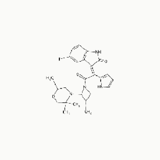 CC1CN(C2C(C)CN2C(=O)C(=C2C(=O)Nc3ccc(F)cc32)c2ccc[nH]2)C(C)(C)CO1